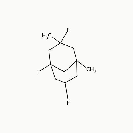 CC1(F)CC2(C)CC(F)CC(F)(C1)C2